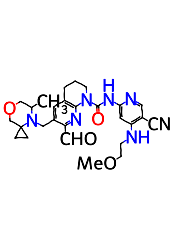 COCCNc1cc(NC(=O)N2CCCc3cc(CN4C(C)COCC45CC5)c(C=O)nc32)ncc1C#N